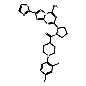 Nc1nc(N2CCC[C@H]2C(=O)N2CCN(c3ccc(F)cc3F)CC2)nc2nc(-c3nccs3)nn12